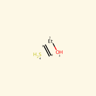 C=C.CCO.S